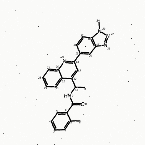 Cc1ccccc1C(=O)NC(C)c1cc(-c2ccc3c(c2)nnn3C)nc2ccccc12